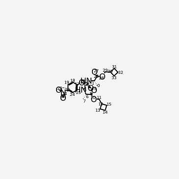 C[C@H](NP(=O)(N[C@@H](C)C(=O)OCC1CCC1)Oc1ccc([N+](=O)[O-])cc1)C(=O)OCC1CCC1